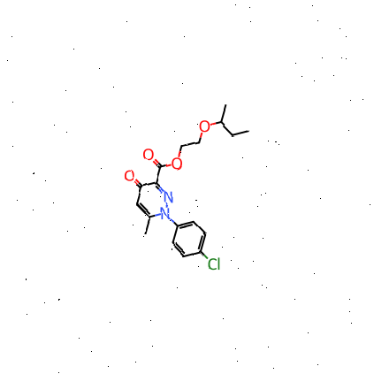 CCC(C)OCCOC(=O)c1nn(-c2ccc(Cl)cc2)c(C)cc1=O